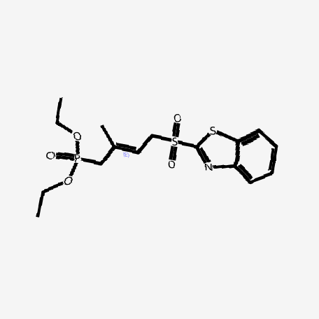 CCOP(=O)(C/C(C)=C/CS(=O)(=O)c1nc2ccccc2s1)OCC